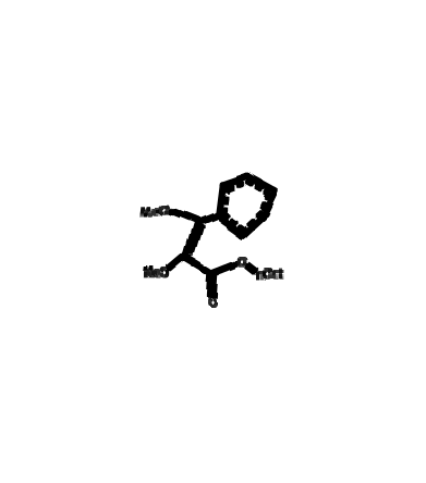 CCCCCCCCOC(=O)C(OC)=C(OC)c1ccccc1